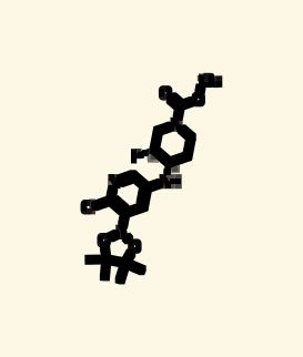 CC(C)(C)OC(=O)N1CC[C@H](Nc2cnc(Cl)c(B3OC(C)(C)C(C)(C)O3)c2)[C@H](F)C1